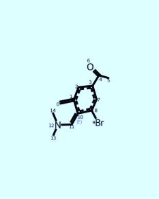 C=c1cc(C(C)=O)cc(Br)/c1=C/N(C)C